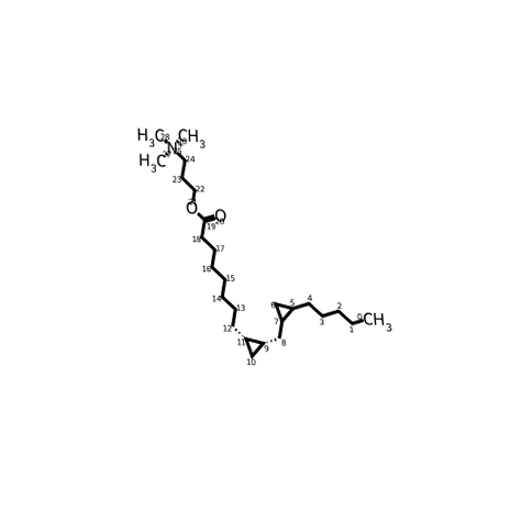 CCCCCC1CC1C[C@@H]1C[C@@H]1CCCCCCCC(=O)OCCC[N+](C)(C)C